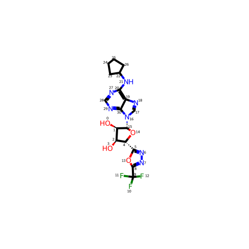 O[C@@H]1[C@H](O)[C@@H](c2nnc(C(F)(F)F)o2)O[C@H]1n1cnc2c(NC3CCCC3)ncnc21